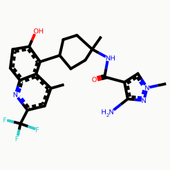 Cc1cc(C(F)(F)F)nc2ccc(O)c(C3CCC(C)(NC(=O)c4cn(C)nc4N)CC3)c12